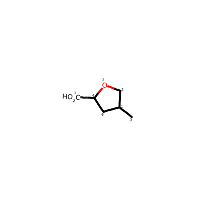 CC1COC(C(=O)O)C1